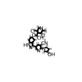 C[C@@H](Oc1ccc2[nH]nc(-c3cnc(N4CC[C@@H](O)C4)c(C#N)c3)c2c1)c1c(Cl)cnc(F)c1Cl